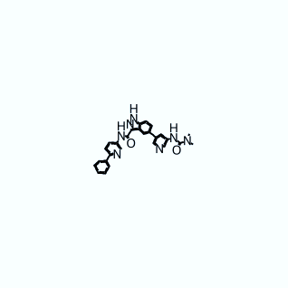 CN(C)C(=O)Nc1cncc(-c2ccc3[nH]nc(C(=O)Nc4ccc(-c5ccccc5)nc4)c3c2)c1